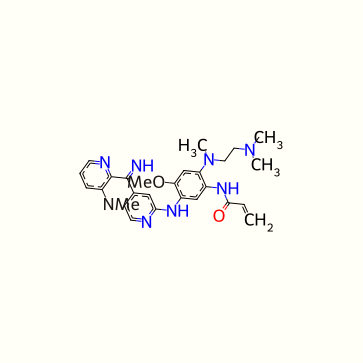 C=CC(=O)Nc1cc(Nc2cc(C(=N)c3ncccc3NC)ccn2)c(OC)cc1N(C)CCN(C)C